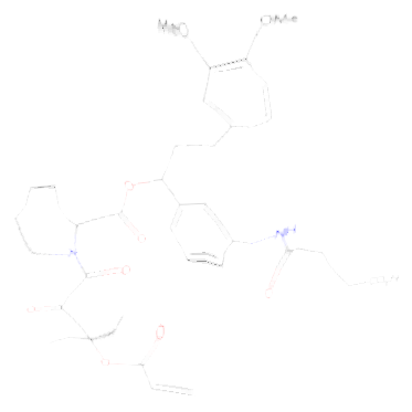 C=CC(=O)OC(C)(C)C(=O)C(=O)N1CCCCC1C(=O)OC(CCc1ccc(OC)c(OC)c1)c1cccc(NC(=O)CCC(=O)O)c1